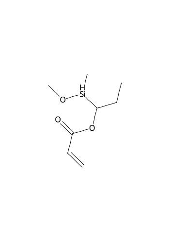 C=CC(=O)OC(CC)[SiH](C)OC